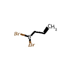 C=CCB(Br)Br